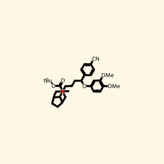 COc1ccc(OC(CCCN2CC3CCC(C2)C3N(C)C(=O)OC(C)(C)C)c2ccc(C#N)cc2)cc1OC